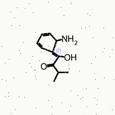 CC(C)C(=O)/C(O)=C1\C=CC=CC1N